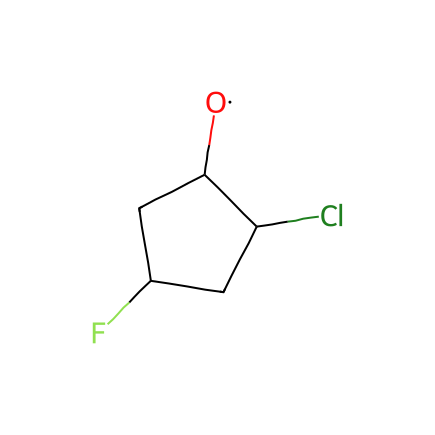 [O]C1CC(F)CC1Cl